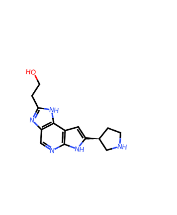 OCCc1nc2cnc3[nH]c([C@H]4CCNC4)cc3c2[nH]1